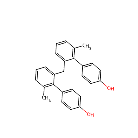 Cc1cccc(Cc2cccc(C)c2-c2ccc(O)cc2)c1-c1ccc(O)cc1